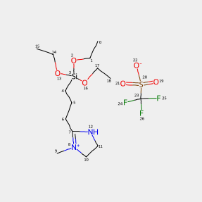 CCO[Si](CCCC1=[N+](C)CCN1)(OCC)OCC.O=S(=O)([O-])C(F)(F)F